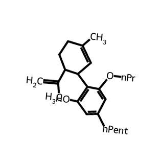 C=C(C)C1CCC(C)=CC1c1c(O)cc(CCCCC)cc1OCCC